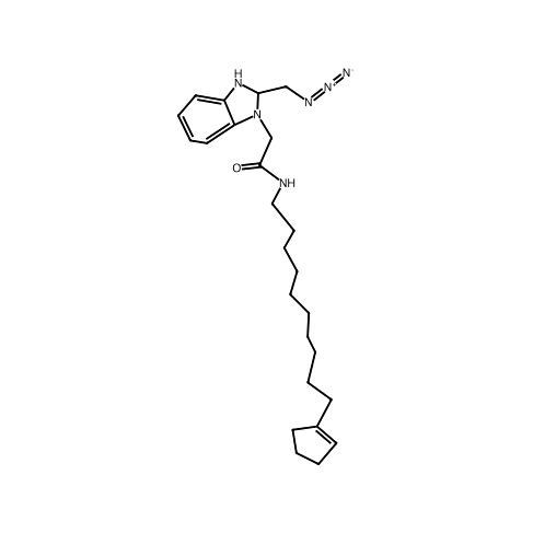 [N-]=[N+]=NCC1Nc2ccccc2N1CC(=O)NCCCCCCCCCCC1=CCCC1